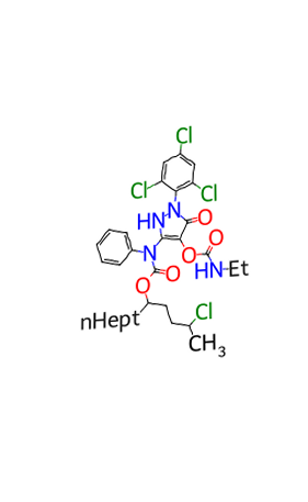 CCCCCCCC(CCC(C)Cl)OC(=O)N(c1ccccc1)c1[nH]n(-c2c(Cl)cc(Cl)cc2Cl)c(=O)c1OC(=O)NCC